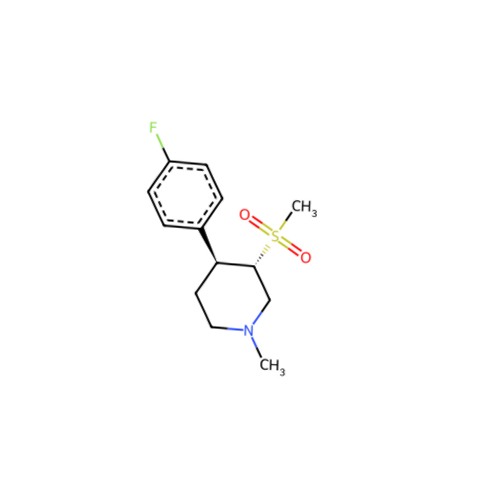 CN1CC[C@@H](c2ccc(F)cc2)[C@H](S(C)(=O)=O)C1